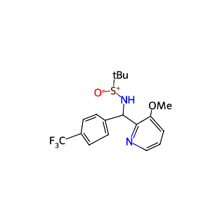 COc1cccnc1C(N[S+]([O-])C(C)(C)C)c1ccc(C(F)(F)F)cc1